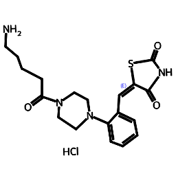 Cl.NCCCCC(=O)N1CCN(c2ccccc2/C=C2/SC(=O)NC2=O)CC1